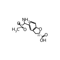 CS(=O)(=O)C(N)c1ccc2c(c1)C[C@@H](C(=O)O)O2